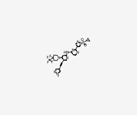 Cn1cc(C#Cc2cnc(Nc3ccnc(-c4cnn(S(=O)(=O)C5CC5)c4)n3)cc2N2CCC(F)(C(F)(F)F)CC2)cn1